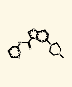 CN1CCN(c2ccc3ncc(C(=O)Nc4cccnn4)n3n2)CC1